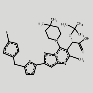 Cc1nc2cc(-c3ccc(Cc4ccc(F)cc4)s3)nn2c(N2CCC(C)(C)CC2)c1[C@H](OC(C)(C)C)C(=O)O